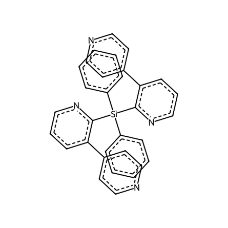 c1ccc([Si](c2ccccc2)(c2ncccc2-c2ccncc2)c2ncccc2-c2ccncc2)cc1